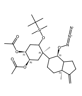 C=C1CCC2[C@H](ON=[N+]=[N-])C([C@@]3(C)C[C@@H](OC(C)=O)[C@@H](OC(C)=O)CC3O[Si](C)(C)C(C)(C)C)CC[C@]12C